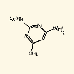 CC(=O)Nc1nc(N)cc(O)n1